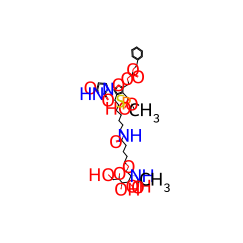 COP(O)(=S)Cc1c(COC(=O)OCc2ccccc2)oc(-n2ccc(=O)[nH]c2=O)c1CCCCCCCNC(=O)CCCCO[C@@H]1O[C@H](CO)[C@H](O)[C@H](O)[C@H]1NC(C)=O